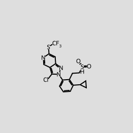 O=[SH](=O)CCc1c(C2CC2)cccc1-n1nc2cc(SC(F)(F)F)ncc2c1Cl